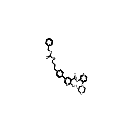 Nc1ncc(-c2ccc(CCCNC(=O)OCc3ccccc3)cc2)cc1C(=O)Nc1cnccc1N1CCOCC1